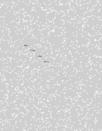 CC\C=C/C=C/C=C/C=C/CCCCCCCC(=O)O